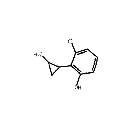 CC1CC1c1c(O)cccc1Cl